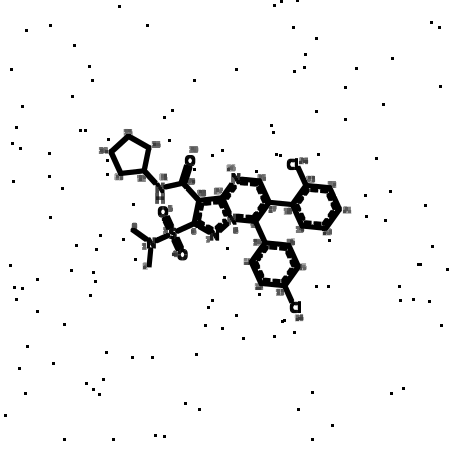 CN(C)S(=O)(=O)c1nn2c(-c3ccc(Cl)cc3)c(-c3ccccc3Cl)cnc2c1C(=O)NC1CCCC1